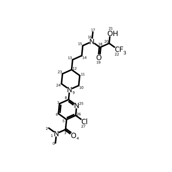 CN(C)C(=O)c1ccc(N2CCC(CCCN(C)C(=O)C(O)C(F)(F)F)CC2)nc1Cl